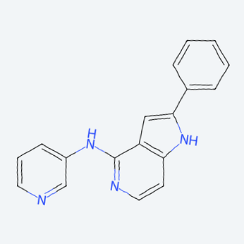 c1ccc(-c2cc3c(Nc4cccnc4)nccc3[nH]2)cc1